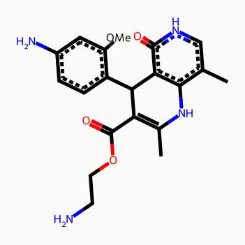 COc1cc(N)ccc1C1C(C(=O)OCCN)=C(C)Nc2c(C)c[nH]c(=O)c21